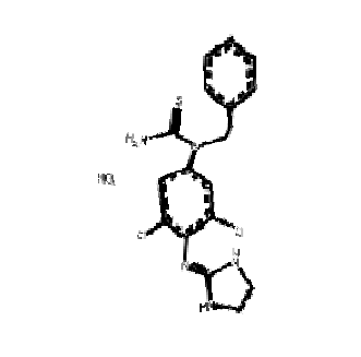 Cl.NC(=S)N(Cc1ccccc1)c1cc(Cl)c(N=C2NCCN2)c(Cl)c1